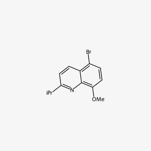 COc1ccc(Br)c2ccc(C(C)C)nc12